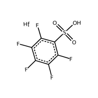 O=S(=O)(O)c1c(F)c(F)c(F)c(F)c1F.[Hf]